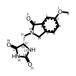 COc1ccc2c(c1)C(=O)N(C[C@@H]1NC(=O)NC1=O)C2